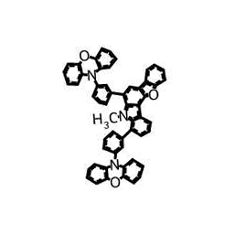 Cn1c2c(-c3cccc(N4c5ccccc5Oc5ccccc54)c3)cccc2c2c3oc4ccccc4c3cc(-c3cccc(N4c5ccccc5Oc5ccccc54)c3)c21